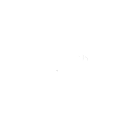 CCCCOCC=O.[AlH3]